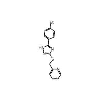 CCc1ccc(-c2nc(SCc3ccccn3)n[nH]2)cc1